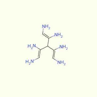 NC=C(N)C(C(N)=CN)C(N)=CN